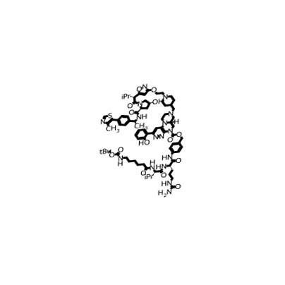 Cc1ncsc1-c1ccc([C@H](C)NC(=O)[C@@H]2C[C@@H](O)CN2C(=O)[C@@H](c2cc(OCCN3CCC(CN4CCN5c6cc(-c7ccccc7O)nnc6N(C(=O)OCc6ccc(NC(=O)[C@H](CCCNC(N)=O)NC(=O)[C@@H](NC(=O)CCCCCNC(=O)OC(C)(C)C)C(C)C)cc6)C[C@H]5C4)CC3)no2)C(C)C)cc1